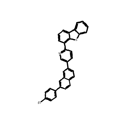 CCc1ccc(-c2ccc3ccc(-c4ccc(-c5cccc6c5sc5ccccc56)nc4)cc3c2)cc1